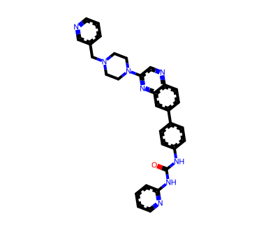 O=C(Nc1ccc(-c2ccc3ncc(N4CCN(Cc5cccnc5)CC4)nc3c2)cc1)Nc1ccccn1